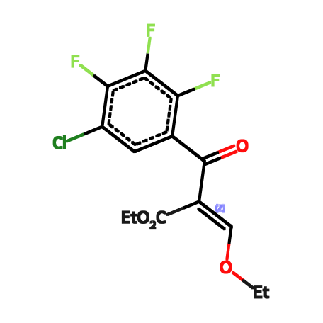 CCO/C=C(\C(=O)OCC)C(=O)c1cc(Cl)c(F)c(F)c1F